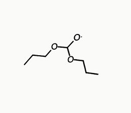 CCCOC([O])OCCC